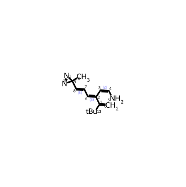 C=C(C(/C=C\N)=C/C=C/C1(C)N=N1)C(C)(C)C